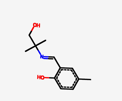 Cc1ccc(O)c(/C=N/C(C)(C)CO)c1